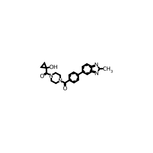 CC1N=c2ccc(-c3ccc(C(=O)N4CCN(C(=O)C5(O)CC5)CC4)cc3)cc2=N1